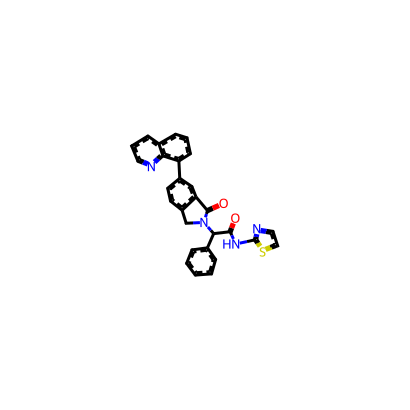 O=C(Nc1nccs1)C(c1ccccc1)N1Cc2ccc(-c3cccc4cccnc34)cc2C1=O